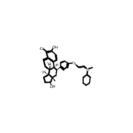 CN(CCOc1ccc([C@H]2C[C@]3(C)[C@@H](O)CC[C@H]3[C@@H]3CCc4c(ccc(O)c4Cl)[C@H]32)cc1)C1CCCCC1